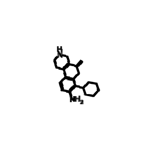 C=C1Cc2c(ccc(N)c2C2CCCCC2)C2=C1CNCC2